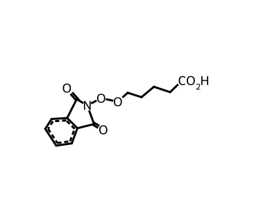 O=C(O)CCCCOON1C(=O)c2ccccc2C1=O